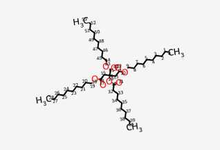 CCCCCCCCCCOC(=O)CC(CC(=O)OCCCCCCCCCC)(OC(=O)CCCCCCCCC)C(=O)OCCCCCCCCCC